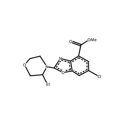 CCC1COCCN1c1nc2c(C(=O)OC)cc(Cl)cc2o1